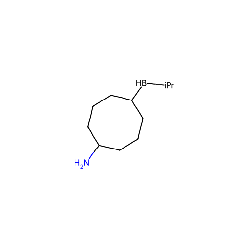 CC(C)BC1CCCC(N)CCC1